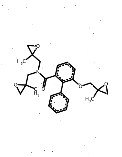 CC1(COc2cccc(C(=O)N(CC3(C)CO3)CC3(C)CO3)c2-c2ccccc2)CO1